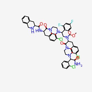 COC(=O)N(CC(c1ccc(F)cc1F)N1CCN(C(=O)C(Cc2ccc(Cl)cc2)NC(=O)C2Cc3ccccc3CN2)CC1)C(Cc1ccc(Cl)cc1)C(=O)N1CCN(C(C(N)=O)c2ccccc2Cl)CC1